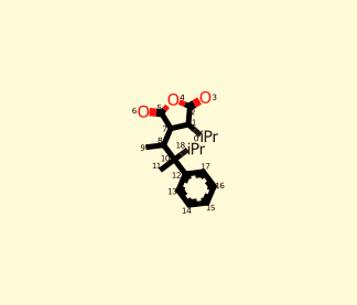 CC(C)C1C(=O)OC(=O)C1C(C)C(C)(c1ccccc1)C(C)C